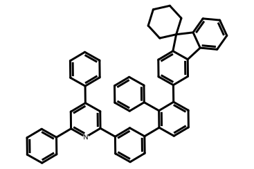 c1ccc(-c2cc(-c3ccccc3)nc(-c3cccc(-c4cccc(-c5ccc6c(c5)-c5ccccc5C65CCCCC5)c4-c4ccccc4)c3)c2)cc1